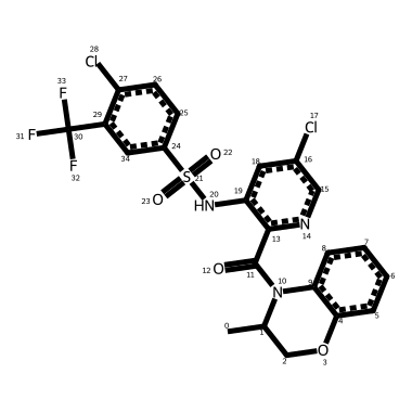 CC1COc2ccccc2N1C(=O)c1ncc(Cl)cc1NS(=O)(=O)c1ccc(Cl)c(C(F)(F)F)c1